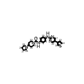 O=C(Nc1ccc(Nc2ncc(-c3ccsc3)cn2)cc1)N1CCC(N2CCCC2)CC1